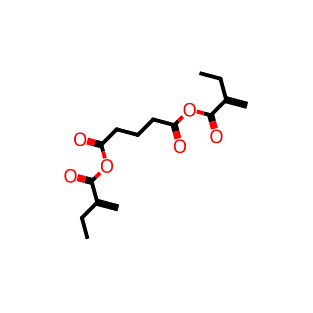 C=C(CC)C(=O)OC(=O)CCCC(=O)OC(=O)C(=C)CC